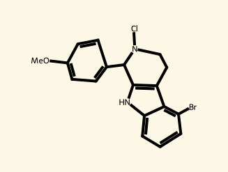 COc1ccc(C2c3[nH]c4cccc(Br)c4c3CCN2Cl)cc1